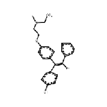 CC/C(=C(\c1ccc(O)cc1)c1ccc(OCCN(C)CC(Cl)(Cl)Cl)cc1)c1ccccc1